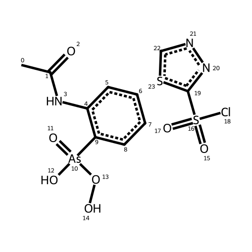 CC(=O)Nc1ccccc1[As](=O)(O)OO.O=S(=O)(Cl)c1nncs1